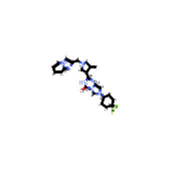 CC1CN(Cc2cn3ccccc3n2)CC1C1=NC2=CN(C3CCC(F)(F)CC3)CN2C(=O)N1